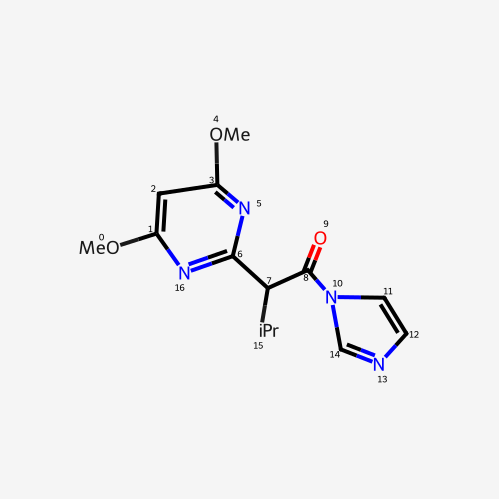 COc1cc(OC)nc(C(C(=O)n2ccnc2)C(C)C)n1